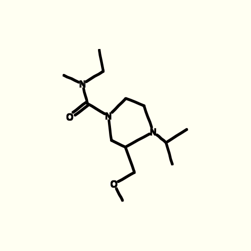 CCN(C)C(=O)N1CCN(C(C)C)C(COC)C1